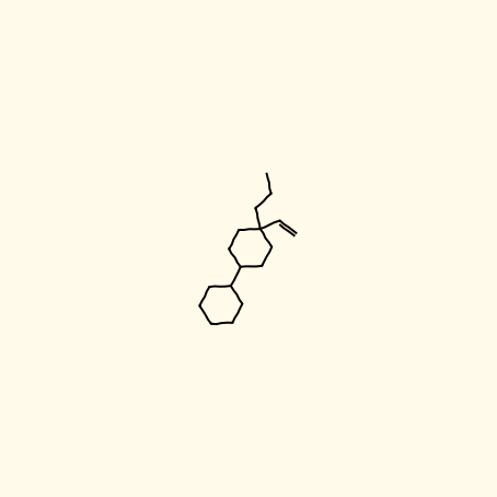 C=CC1(CCC)CCC(C2CCCCC2)CC1